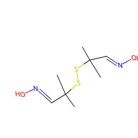 CC(C)(/C=N/O)SSC(C)(C)/C=N/O